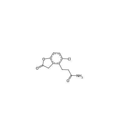 NC(=O)CCc1c(Cl)ccc2c1CC(=O)O2